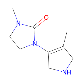 CC1=C(N2CCN(C)C2=O)CNC1